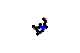 c1ccc(-c2ccc(-c3cccc(-c4nc(-n5c6ccccc6c6cc(-c7ccc8sc9ccccc9c8c7)ccc65)nc(-n5c6ccccc6c6cc(-c7ccc8sc9ccccc9c8c7)ccc65)n4)c3)cc2-c2ccccc2)cc1